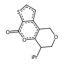 CC(C)C1COCc2c1oc(=O)c1sccc21